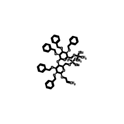 C=CCO[C@H]1O[C@H](CO[Si](C)(C)C(C)(C)C)[C@@H](O[C@@H]2O[C@H](CO[Si](C)(C)C(C)(C)C)[C@@H](OCc3ccccc3)[C@H](OCc3ccccc3)[C@H]2OCc2ccccc2)[C@H](OCc2ccccc2)[C@H]1OCc1ccccc1